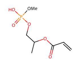 C=CC(=O)OC(C)COP(=O)(O)OC